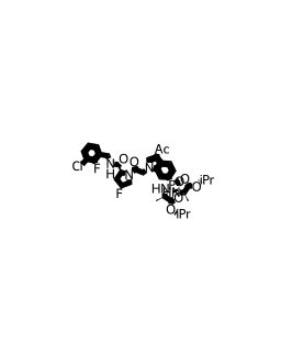 CC(=O)c1cn(CC(=O)N2C[C@H](F)C[C@H]2C(=O)NCc2cccc(Cl)c2F)c2cc(P(=O)(N[C@@H](C)C(=O)OC(C)C)N[C@@H](C)C(=O)OC(C)C)ccc12